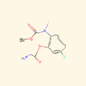 CN(C(=O)OC(C)(C)C)c1ccc(F)cc1OC(N)=O